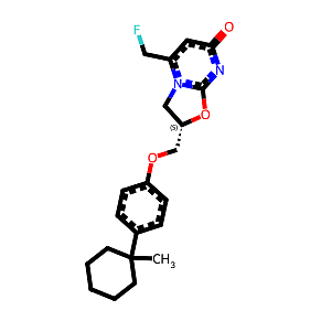 CC1(c2ccc(OC[C@@H]3Cn4c(CF)cc(=O)nc4O3)cc2)CCCCC1